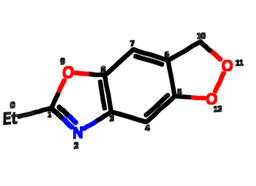 CCc1nc2cc3c(cc2o1)COO3